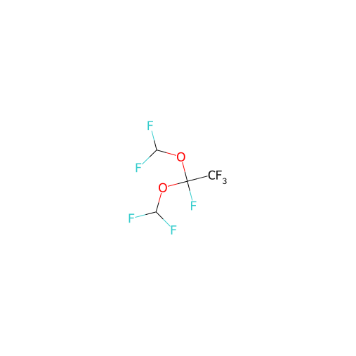 FC(F)OC(F)(OC(F)F)C(F)(F)F